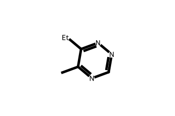 CCc1nncnc1C